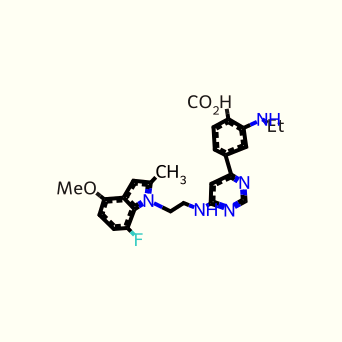 CCNc1cc(-c2cc(NCCn3c(C)cc4c(OC)ccc(F)c43)ncn2)ccc1C(=O)O